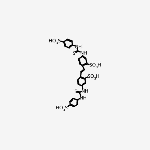 O=S(=O)(O)c1ccc(NC(=S)Nc2ccc(C=Cc3ccc(NC(=S)Nc4ccc(S(=O)(=O)O)cc4)cc3S(=O)(=O)O)c(S(=O)(=O)O)c2)cc1